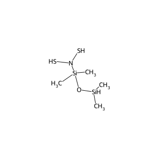 C[SiH](C)O[Si](C)(C)N(S)S